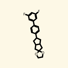 Fc1cc(F)cc(-c2ccc(C3CC4CC5(CC4C3)OCCO5)cc2)c1